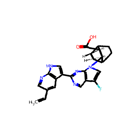 C=Cc1cnc2[nH]cc(-c3ncc4c(F)cn([C@@H]5C6CCC(CC6)[C@H]5C(=O)O)c4n3)c2c1